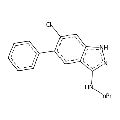 CCCNc1n[nH]c2cc(Cl)c(-c3ccccc3)cc12